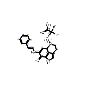 CN1CCc2c[nH]c3c2C1C=C(N/C=C/c1ccccc1)C3=O.O=C(O)C(F)(F)F